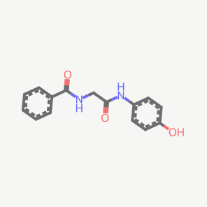 O=C(CNC(=O)c1ccccc1)Nc1ccc(O)cc1